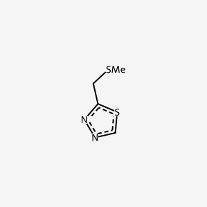 CSCc1nncs1